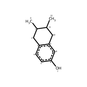 CC1Cc2ccc(O)cc2CC1C